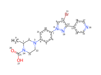 CC1CN(c2ccc(-n3cc(Br)c(-c4ccncc4)n3)cc2)CCN1C(=O)O